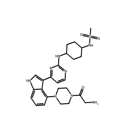 CS(=O)(=O)NC1CCC(Nc2nccc(-c3c[nH]c4cccc(N5CCN(C(=O)CN)CC5)c34)n2)CC1